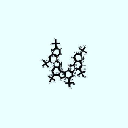 CC(C)(C)c1ccc2c(cc(C(C)(C)C)n3c4cc(C(C)(C)C)c5c(c4nc23)-c2c(c(C(C)(C)C)cc3c2nc2c4ccc(C(C)(C)C)nc4cc(C(C)(C)C)n32)C5)n1